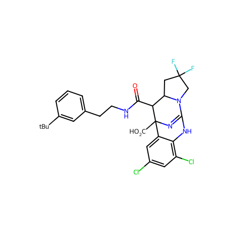 CC(C)(C)c1cccc(CCNC(=O)C2C3CC(F)(F)CN3C3=NC2(C(=O)O)c2cc(Cl)cc(Cl)c2N3)c1